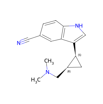 CN(C)C[C@@H]1C[C@@H]1c1c[nH]c2ccc(C#N)cc12